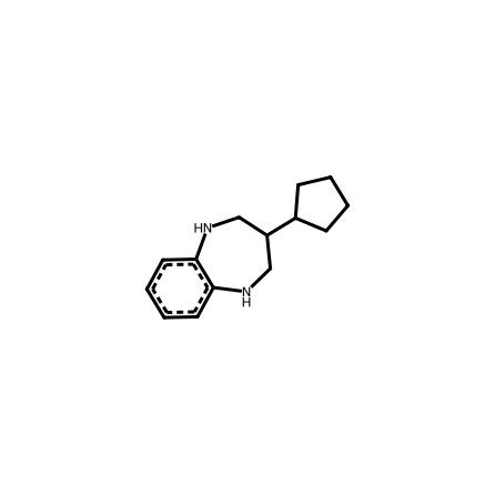 c1ccc2c(c1)NCC(C1CCCC1)CN2